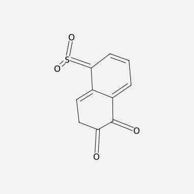 O=C1CC=C2C(=CC=CC2=S(=O)=O)C1=O